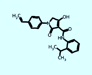 C=Cc1ccc(N2CC(O)=C(C(=O)Nc3ccccc3C(C)C)C2=O)cc1